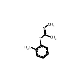 C/N=C(\C)Oc1ccccc1C